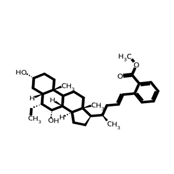 CC[C@H]1[C@@H](O)[C@@H]2C(CC[C@]3(C)[C@@H]([C@H](C)C/C=C/c4ccccc4C(=O)OC)CC[C@@H]23)[C@@]2(C)CC[C@@H](O)C[C@@H]12